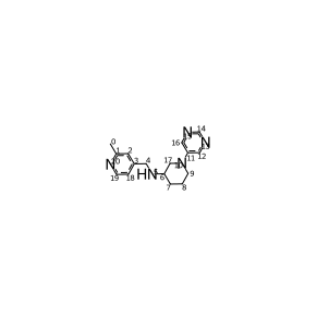 Cc1cc(CNC2CCCN(c3cncnc3)C2)ccn1